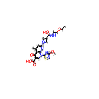 CCOCCNC(O)C1CN(c2cc(C)c3c(=O)c(C(=O)O)cn(-c4nc(OC)ns4)c3n2)C1